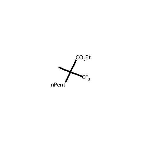 CCCCCC(C)(C(=O)OCC)C(F)(F)F